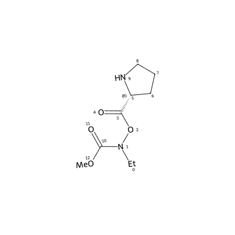 CCN(OC(=O)[C@H]1CCCN1)C(=O)OC